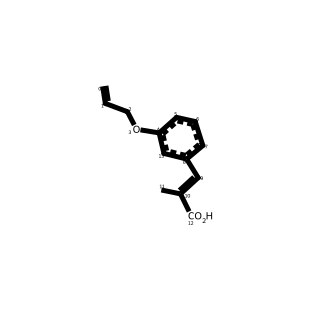 C=CCOc1cccc(C=C(C)C(=O)O)c1